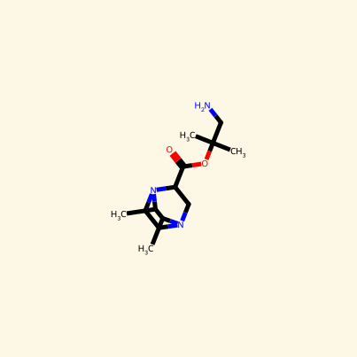 CC1C(C)N2CCN1CC2C(=O)OC(C)(C)CN